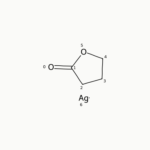 O=C1CCCO1.[Ag]